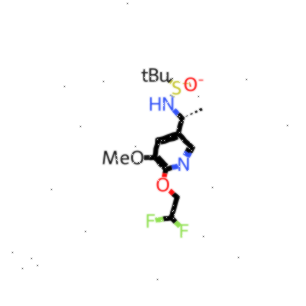 COc1cc([C@@H](C)N[S+]([O-])C(C)(C)C)cnc1OCC(F)F